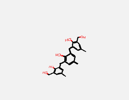 Cc1cc(CO)c(O)c(Cc2cc(C)cc(Cc3cc(C)cc(CO)c3O)c2O)c1